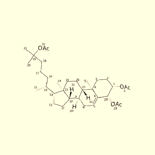 CC(=O)O[C@H]1CC[C@@]2(C)C(=CC[C@H]3[C@@H]4CC[C@H]([C@H](C)CCCC(C)(C)OC(C)=O)[C@@]4(C)CC[C@@H]32)[C@H]1OC(C)=O